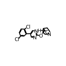 Clc1ccc(Cl)c(-c2cnc(O[C@H]3CN4CCC3CC4)nc2)c1